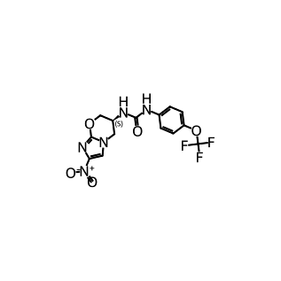 O=C(Nc1ccc(OC(F)(F)F)cc1)N[C@@H]1COc2nc([N+](=O)[O-])cn2C1